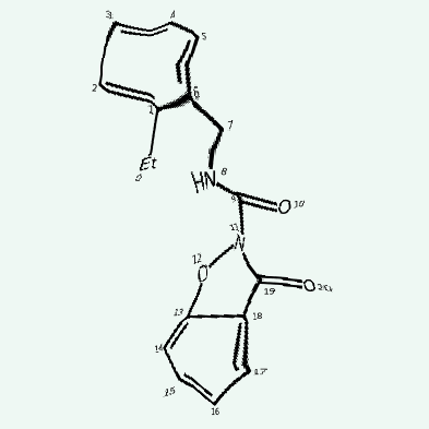 CCc1ccccc1CNC(=O)n1oc2ccccc2c1=O